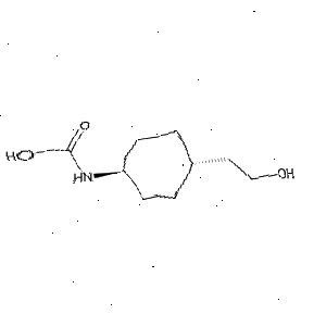 O=C(O)N[C@H]1CC[C@H](CCO)CC1